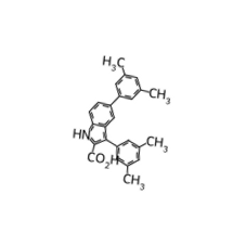 Cc1cc(C)cc(-c2ccc3[nH]c(C(=O)O)c(-c4cc(C)cc(C)c4)c3c2)c1